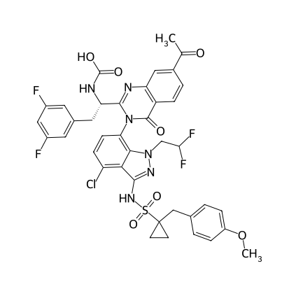 COc1ccc(CC2(S(=O)(=O)Nc3nn(CC(F)F)c4c(-n5c([C@H](Cc6cc(F)cc(F)c6)NC(=O)O)nc6cc(C(C)=O)ccc6c5=O)ccc(Cl)c34)CC2)cc1